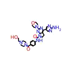 Nc1ncc(-c2nc(N3CCOCC3)nc3c2CCN3C(=O)Nc2ccc(C(=O)N3CCN(CCO)CC3)cc2)cn1